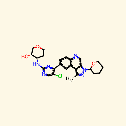 Cc1nn(C2CCCCO2)c2cnc3ccc(-c4nc(N[C@@H]5CCOC[C@H]5O)ncc4Cl)cc3c12